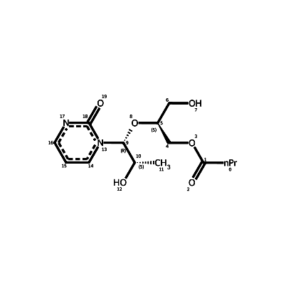 CCCC(=O)OC[C@H](CO)O[C@H]([C@H](C)O)n1cccnc1=O